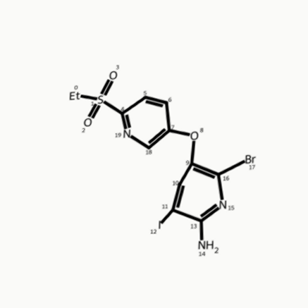 CCS(=O)(=O)c1ccc(Oc2cc(I)c(N)nc2Br)cn1